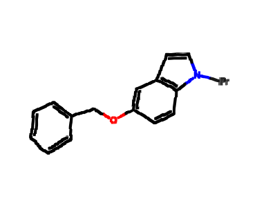 CC(C)n1ccc2cc(OCc3ccccc3)ccc21